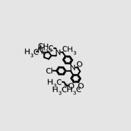 CC[C@@H](C)Oc1cc2c(cc1OC)CC(=O)N(c1ccc(C(C)N(CC)CC3CC[C@@H](N(C)C)C3)cc1)C2c1ccc(Cl)cc1